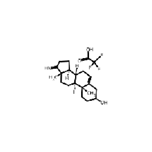 C[C@]12CC[C@H](O)CC1=CC[C@@H]1[C@@H]2CC[C@]2(C)C(=N)CC[C@@H]12.O=C(O)C(F)(F)F